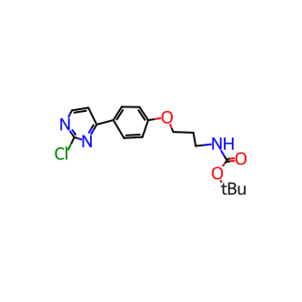 CC(C)(C)OC(=O)NCCCOc1ccc(-c2ccnc(Cl)n2)cc1